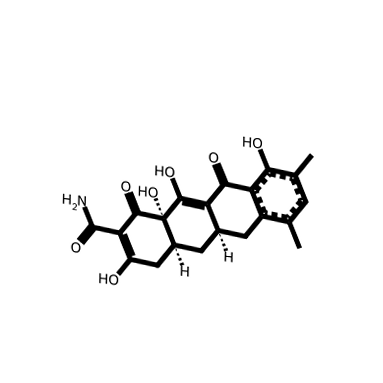 Cc1cc(C)c2c(c1O)C(=O)C1=C(O)[C@]3(O)C(=O)C(C(N)=O)=C(O)C[C@@H]3C[C@@H]1C2